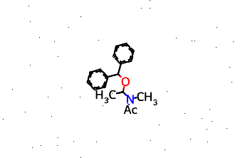 CC(=O)N(C)C(C)OC(c1ccccc1)c1ccccc1